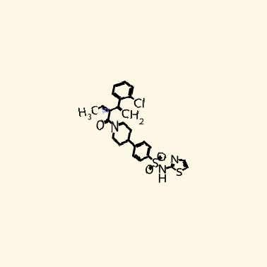 C=C(/C(=C/C)C(=O)N1CCC(c2ccc(S(=O)(=O)Nc3nccs3)cc2)CC1)c1ccccc1Cl